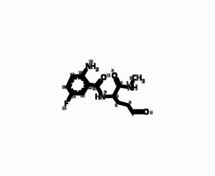 CNC(=O)C(CCC=O)NC(=O)c1cc(F)ccc1N